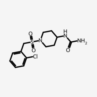 NC(=O)NC1CCN(S(=O)(=O)Cc2ccccc2Cl)CC1